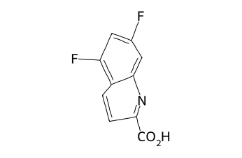 O=C(O)c1ccc2c(F)cc(F)cc2n1